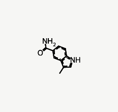 Cc1c[nH]c2ccc(C(N)=O)cc12